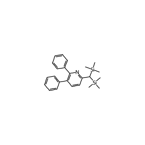 C[Si](C)(C)C(c1ccc(-c2ccccc2)c(-c2ccccc2)n1)[Si](C)(C)C